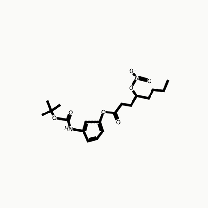 CCCCC(CCC(=O)Oc1cccc(NC(=O)OC(C)(C)C)c1)O[N+](=O)[O-]